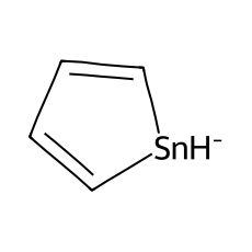 C1=[CH][SnH-][CH]=C1